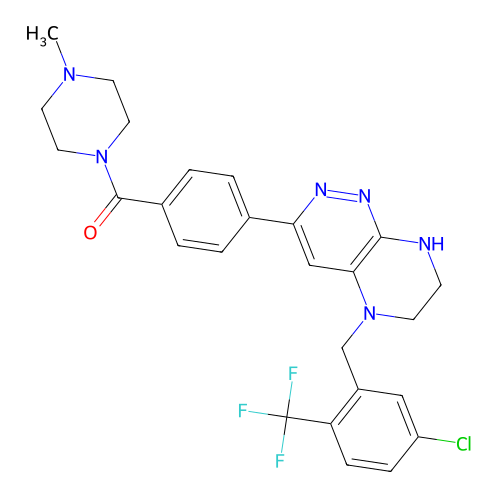 CN1CCN(C(=O)c2ccc(-c3cc4c(nn3)NCCN4Cc3cc(Cl)ccc3C(F)(F)F)cc2)CC1